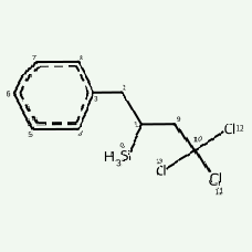 [SiH3]C(Cc1ccccc1)CC(Cl)(Cl)Cl